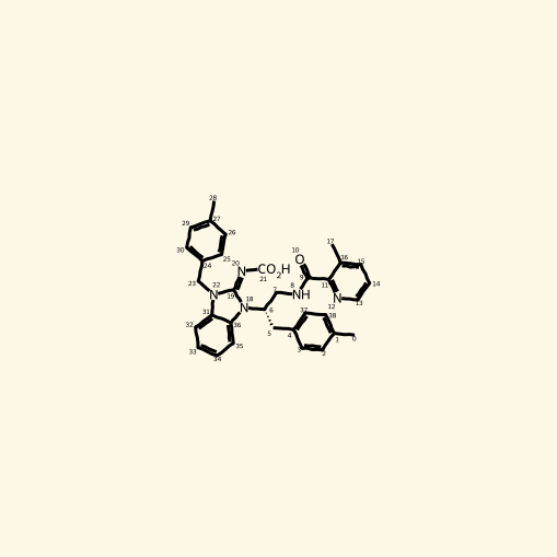 Cc1ccc(C[C@@H](CNC(=O)c2ncccc2C)n2c(=NC(=O)O)n(Cc3ccc(C)cc3)c3ccccc32)cc1